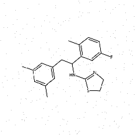 Cc1cc(C)cc(CC(NC2=NCCS2)c2cc(F)ccc2C)c1